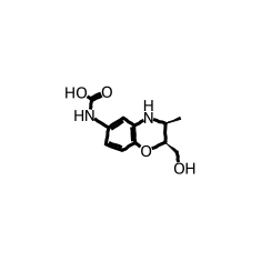 C[C@@H]1Nc2cc(NC(=O)O)ccc2O[C@@H]1CO